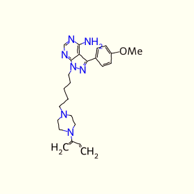 C=CC(=C)N1CCN(CCCCCn2nc(-c3ccc(OC)cc3)c3c(N)ncnc32)CC1